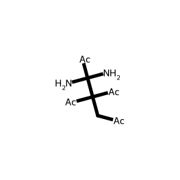 CC(=O)CC(C(C)=O)(C(C)=O)C(N)(N)C(C)=O